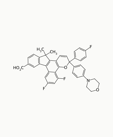 CC1(C)c2ccc(C(=O)O)cc2-c2c1c1c(c3c(F)cc(F)cc23)OC(c2ccc(F)cc2)(c2ccc(N3CCOCC3)cc2)C=C1